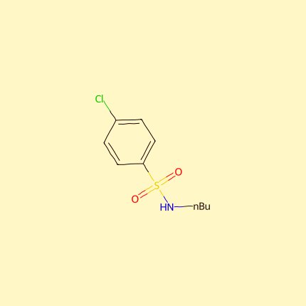 CCCCNS(=O)(=O)c1ccc(Cl)cc1